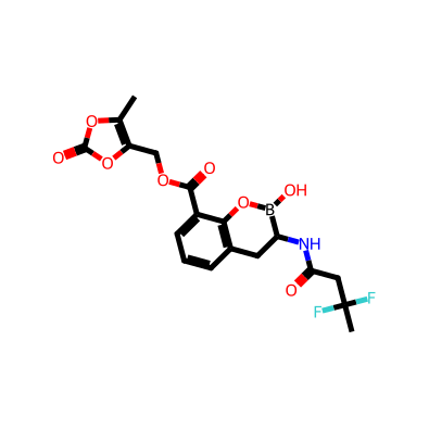 Cc1oc(=O)oc1COC(=O)c1cccc2c1OB(O)C(NC(=O)CC(C)(F)F)C2